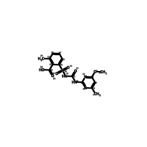 COc1cc(C)nc(NC(=O)NS(=O)(=O)c2cccc(C)c2C(=O)O)n1